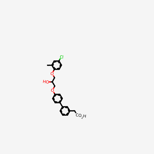 Cc1cc(Cl)ccc1OCC(O)COc1ccc(-c2cccc(CC(=O)O)c2)cc1